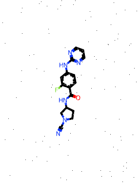 N#CN1CCC(NC(=O)c2ccc(Nc3ncccn3)cc2F)C1